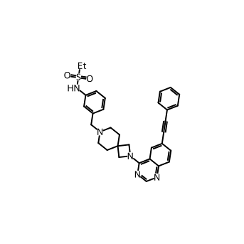 CCS(=O)(=O)Nc1cccc(CN2CCC3(CC2)CN(c2ncnc4ccc(C#Cc5ccccc5)cc24)C3)c1